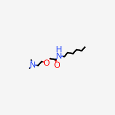 CCCCCCNC(=O)COCCN(C)C